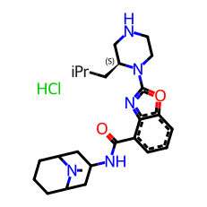 CC(C)C[C@H]1CNCCN1c1nc2c(C(=O)NC3CC4CCCC(C3)N4C)cccc2o1.Cl